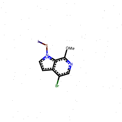 COc1ncc(Br)c2ccn(SI)c12